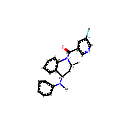 CC(=O)N(c1ccccc1)[C@@H]1C[C@H](C)N(C(=O)c2cncc(F)c2)c2ccccc21